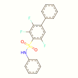 O=S(=O)(Nc1ccccc1)c1c(F)cc(-c2ccccc2)c(F)c1F